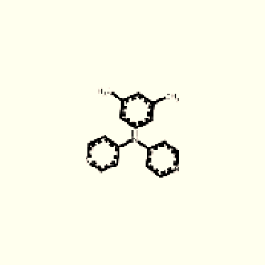 Cc1cccc(C)c1.c1cc(Nc2ccncc2)ccn1